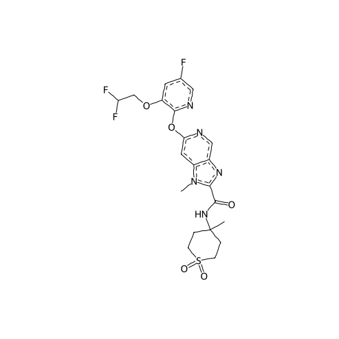 Cn1c(C(=O)NC2(C)CCS(=O)(=O)CC2)nc2cnc(Oc3ncc(F)cc3OCC(F)F)cc21